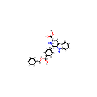 COC(=O)[C@H]1Cc2c([nH]c3ccccc23)[C@@H](c2ccc(C(=O)OCc3ccccc3)cc2)N1